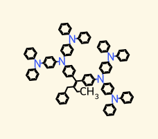 CCC(Cc1ccccc1)=C(c1ccc(N(c2ccc(N(c3ccccc3)c3ccccc3)cc2)c2ccc(N(c3ccccc3)c3ccccc3)cc2)cc1)c1ccc(N(c2ccc(N(c3ccccc3)c3ccccc3)cc2)c2ccc(N(c3ccccc3)c3ccccc3)cc2)cc1